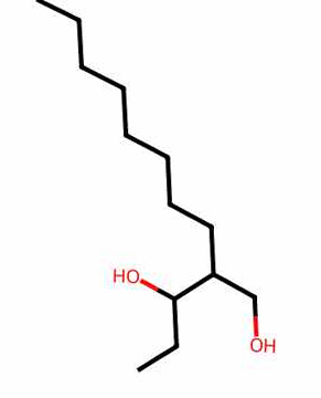 CCCCCCCCC(CO)C(O)CC